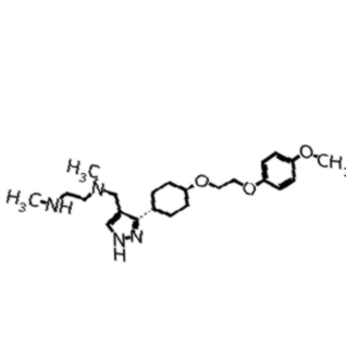 CNCCN(C)Cc1c[nH]nc1[C@H]1CC[C@H](OCCOc2ccc(OC)cc2)CC1